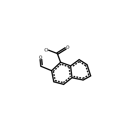 O=Cc1ccc2ccccc2c1C(=O)Cl